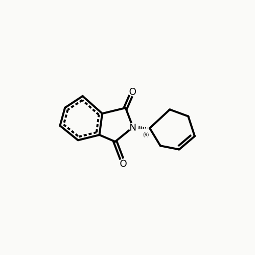 O=C1c2ccccc2C(=O)N1[C@H]1CC=CCC1